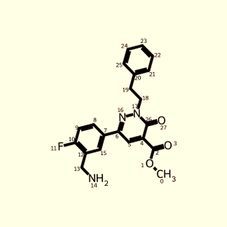 COC(=O)c1cc(-c2ccc(F)c(CN)c2)nn(CCc2ccccc2)c1=O